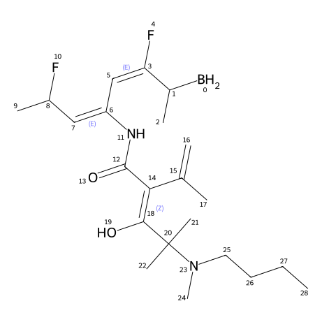 BC(C)/C(F)=C\C(=C/C(C)F)NC(=O)/C(C(=C)C)=C(\O)C(C)(C)N(C)CCCC